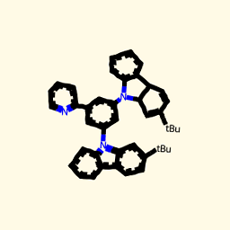 CC(C)(C)C1=CC2C(C=C1)c1ccccc1N2c1cc(-c2ccccn2)cc(-n2c3ccccc3c3ccc(C(C)(C)C)cc32)c1